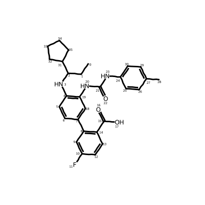 CCC(Nc1ccc(-c2cc(F)ccc2C(=O)O)cc1NC(=O)Nc1ccc(C)cc1)C1CCCC1